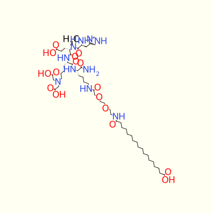 CN[C@@H](Cc1c[nH]cn1)C(=O)N[C@@H](CCC(=O)O)C(=O)N[C@@H](CCCCN(CC(=O)O)CC(=O)O)C(=O)N[C@@H](CCCCNC(=O)COCCOCCNC(=O)CCCCCCCCCCCCCCCCC(=O)O)C(N)=O